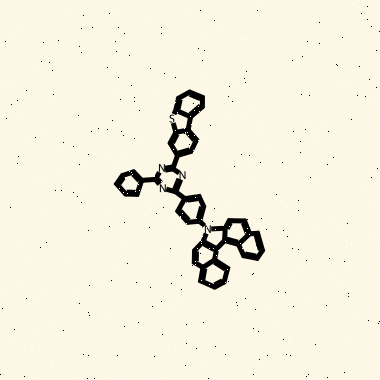 c1ccc(-c2nc(-c3ccc(-n4c5ccc6ccccc6c5c5c6ccccc6ccc54)cc3)nc(-c3ccc4c(c3)sc3ccccc34)n2)cc1